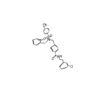 N#Cc1ccc(S(=O)(=O)N(Cc2ccc(C(=O)NCCc3cccc(Cl)c3)cc2)Cc2ccccn2)cc1